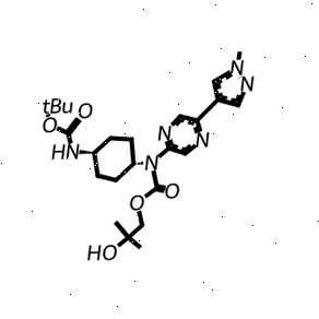 Cn1cc(-c2cnc(N(C(=O)OCC(C)(C)O)[C@H]3CC[C@H](NC(=O)OC(C)(C)C)CC3)cn2)cn1